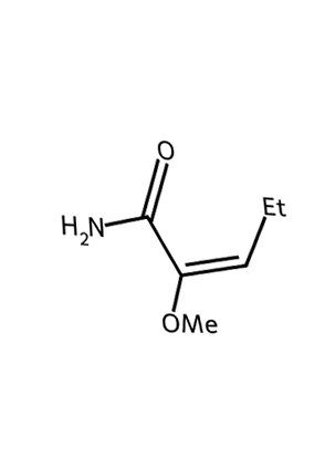 CC/C=C(/OC)C(N)=O